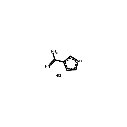 Cl.N=C(N)c1cc[nH]c1